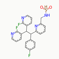 O=[SH](=O)NCc1cccc(C(c2ccc(F)cc2)C(c2cccnc2F)c2cccnc2F)n1